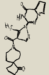 Cc1c(C(=O)N2CCC3(CCC3=O)CC2)cnn1-c1nn2cccc2c(=O)[nH]1